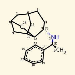 C[C@H](N[C@H]1CCC2CC3CC(C2)C1C3)c1ccccc1